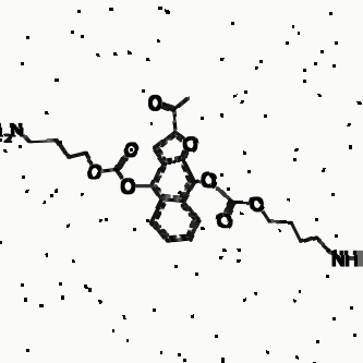 CC(=O)c1cc2c(OC(=O)OCCCCN)c3ccccc3c(OC(=O)OCCCCN)c2o1